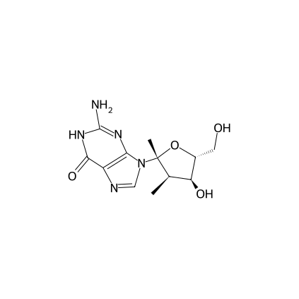 C[C@@H]1[C@H](O)[C@@H](CO)O[C@@]1(C)n1cnc2c(=O)[nH]c(N)nc21